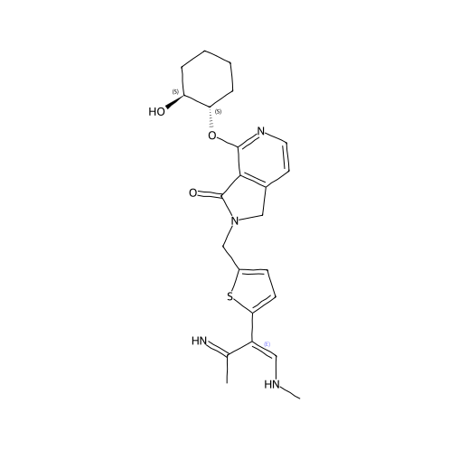 CN/C=C(\C(C)=N)c1ccc(CN2Cc3ccnc(O[C@H]4CCCC[C@@H]4O)c3C2=O)s1